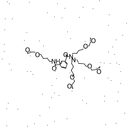 O=C(NCCCCOCC1CO1)c1cccc(C(=O)N(CCCCOCC2CO2)N(CCCCOCC2CO2)CCCCOCC2CO2)c1